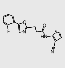 N#Cc1ccsc1NC(=O)CCc1ncc(-c2ccccc2F)o1